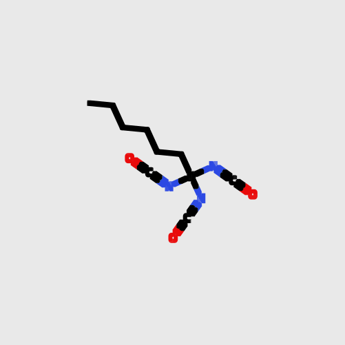 CCCCCC[Si](N=C=O)(N=C=O)N=C=O